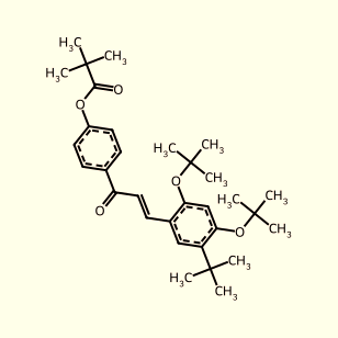 CC(C)(C)Oc1cc(OC(C)(C)C)c(C(C)(C)C)cc1C=CC(=O)c1ccc(OC(=O)C(C)(C)C)cc1